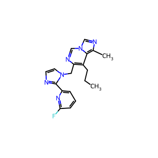 CCCc1c(Cn2ccnc2-c2cccc(F)n2)ncn2cnc(C)c12